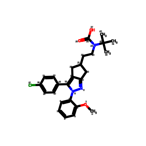 COc1ccccc1-n1nc2c(c1-c1ccc(Cl)cc1)CC(CCN(C(=O)O)C(C)(C)C)C2